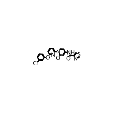 O=C(Nc1ccn(-c2cccc(Oc3cccc(Cl)c3)n2)c(=O)c1)c1cscn1